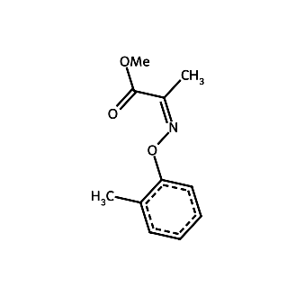 COC(=O)C(C)=NOc1ccccc1C